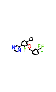 Fc1c(-c2cnccn2)ccc(C2CCC2)c1OCc1cccc(C(F)(F)F)c1